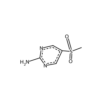 CS(=O)(=O)c1cnc(N)nc1